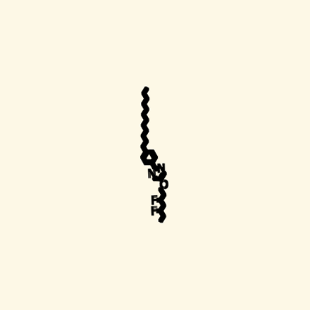 CCCCCCCCCCCCc1ccc(-c2ncc(OCCC(F)CC(F)CC)cn2)cc1